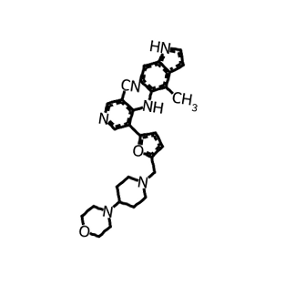 Cc1c(Nc2c(C#N)cncc2-c2ccc(CN3CCC(N4CCOCC4)CC3)o2)ccc2[nH]ccc12